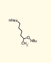 [CH2]C(CCCCCCCCCC)OCCCC